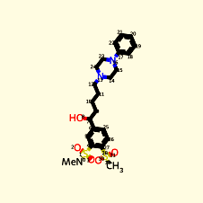 CNS(=O)(=O)c1cc(C(O)CCCCN2CCN(c3ccccc3)CC2)ccc1S(C)(=O)=O